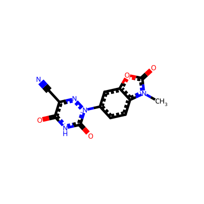 Cn1c(=O)oc2cc(-n3nc(C#N)c(=O)[nH]c3=O)ccc21